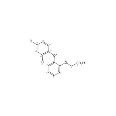 CCOC(=O)COc1ccccc1Oc1c[c]c(F)cc1Cl